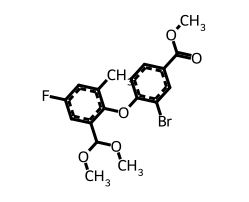 COC(=O)c1ccc(Oc2c(C)cc(F)cc2C(OC)OC)c(Br)c1